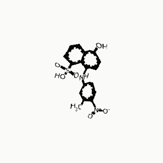 Cc1cc(Nc2ccc(O)c3cccc(S(=O)(=O)O)c23)ccc1[N+](=O)[O-]